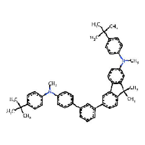 CN(c1ccc(-c2cccc(-c3ccc4c(c3)-c3ccc(N(C)c5ccc(C(C)(C)C)cc5)cc3C4(C)C)c2)cc1)c1ccc(C(C)(C)C)cc1